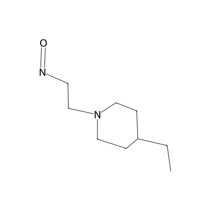 CCC1CCN(CCN=O)CC1